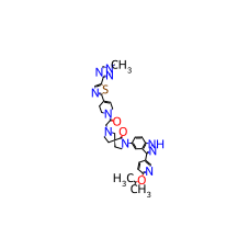 CC(C)Oc1ccc(-c2n[nH]c3ccc(N4CC[C@]5(CCN(CC(=O)N6CC=C(c7ncc(-c8ncn(C)n8)s7)CC6)C5)C4=O)cc23)cn1